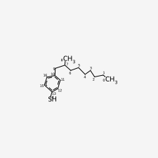 CCCCCCCC(C)Cc1ccc(S)cc1